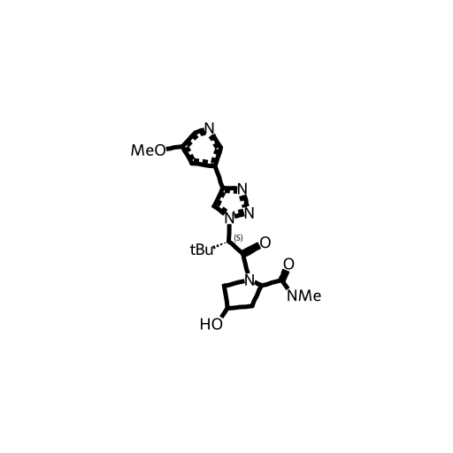 CNC(=O)C1CC(O)CN1C(=O)[C@@H](n1cc(-c2cncc(OC)c2)nn1)C(C)(C)C